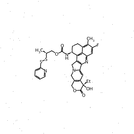 CC[C@@]1(O)C(=O)OCC2=C1C=C1c3nc4cc(F)c(C)c5c4c(c3CN1C2)[C@@H](NC(=O)OC[C@H](C)SSc1ccccn1)CC5